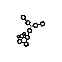 c1ccc(-c2ccc(N(c3ccc(-c4ccccc4)cc3)c3ccc(-c4ccc5c(c4)C4(c6ccccc6-c6ccccc6-5)c5ccccc5-c5ccccc54)cc3)cc2)cc1